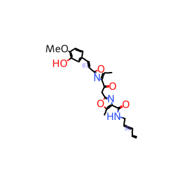 C=C/C=C/CNC(=O)c1nc(CC(=O)c2nc(/C=C/c3ccc(OC)c(O)c3)oc2C)oc1C